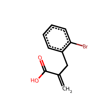 C=C(Cc1ccccc1Br)C(=O)O